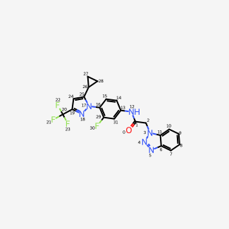 O=C(Cn1nnc2ccccc21)Nc1ccc(-n2nc(C(F)(F)F)cc2C2CC2)c(F)c1